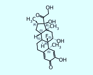 C[C@@H]1C[C@H]2[C@@H]3CCC4=CC(=O)C(O)=C[C@]4(C)[C@@]3(F)[C@@H](O)C[C@]2(C)[C@@]1(O)C(=O)CO